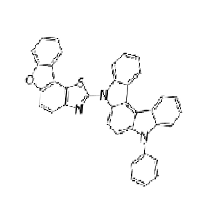 c1ccc(-n2c3ccccc3c3c4c5ccccc5n(-c5nc6ccc7oc8ccccc8c7c6s5)c4ccc32)cc1